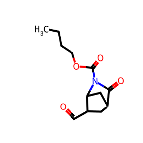 CCCCOC(=O)N1C(=O)C2CC(C=O)C1C2